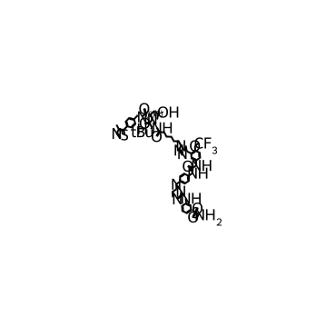 Cc1ncsc1-c1ccc(CNC(=O)[C@@H]2C[C@@H](O)CN2C(=O)C(NC(=O)CCCCCn2cc(-c3cc(NC(=O)Nc4ccc(N(C)c5ccnc(Nc6cccc(S(N)(=O)=O)c6)n5)cc4)ccc3OC(F)(F)F)nn2)C(C)(C)C)cc1